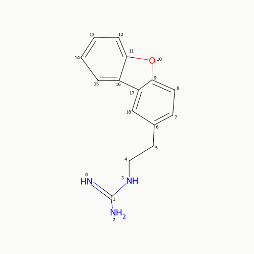 N=C(N)NCCc1ccc2oc3ccccc3c2c1